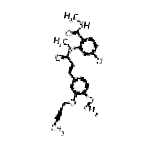 CC#CCOc1cc(/C=C/C(=O)N(C)c2cc(Cl)ccc2C(=O)NC)ccc1OC